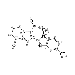 CC[S+]([O-])c1c(-c2nc3cc(C(F)(F)F)ncc3n2C)nc2n1CCCC2=O